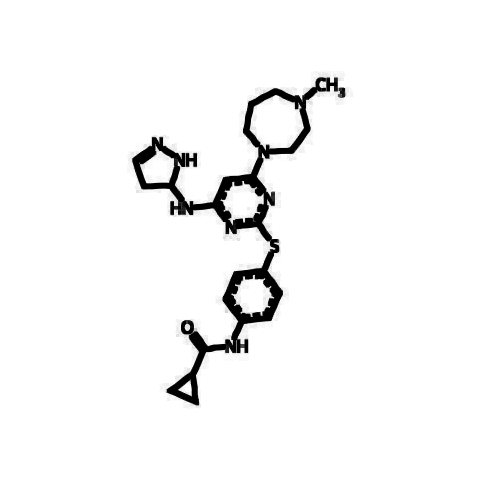 CN1CCCN(c2cc(NC3CC=NN3)nc(Sc3ccc(NC(=O)C4CC4)cc3)n2)CC1